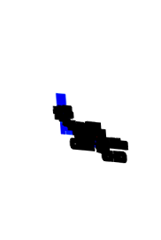 CNC(=O)C(CCC=O)N(C=O)C(=O)c1ccc(NCCN2CCNCC2)cc1C